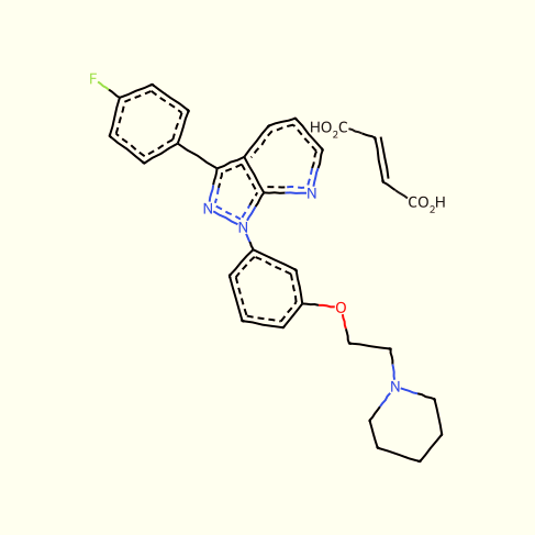 Fc1ccc(-c2nn(-c3cccc(OCCN4CCCCC4)c3)c3ncccc23)cc1.O=C(O)C=CC(=O)O